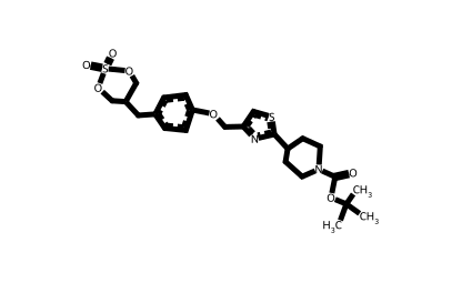 CC(C)(C)OC(=O)N1CCC(c2nc(COc3ccc(CC4COS(=O)(=O)OC4)cc3)cs2)CC1